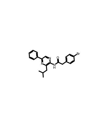 CC(C)Cc1nc(-c2ccccc2)cnc1NC(=O)Cc1ccc(Br)cc1